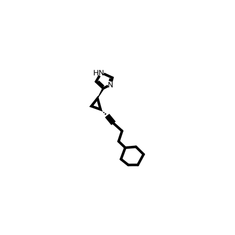 C(#C[C@@H]1C[C@H]1c1c[nH]cn1)CCC1CCCCC1